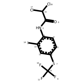 O=C(Nc1ccc(SC(F)(F)F)cc1I)C(Cl)Cl